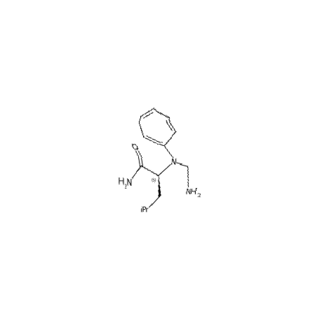 CC(C)C[C@@H](C(N)=O)N(CN)c1ccccc1